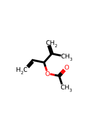 C=CC(OC(C)=O)C(=C)C